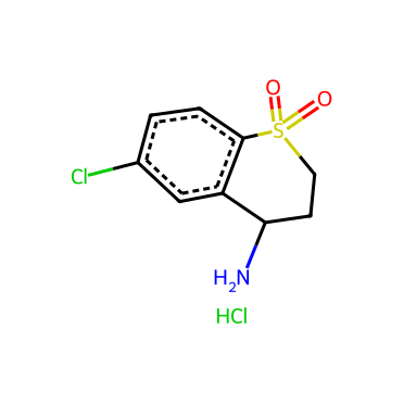 Cl.NC1CCS(=O)(=O)c2ccc(Cl)cc21